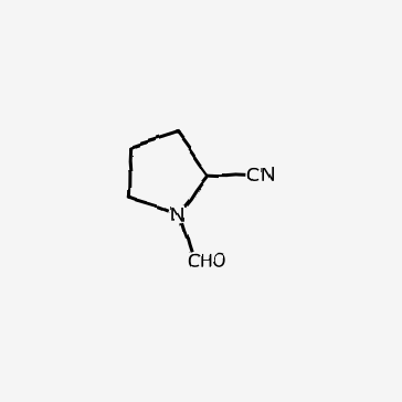 N#CC1CCCN1C=O